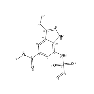 C=CS(=O)(=O)Nc1cc(C(=O)OC)cc2c(CC)c[nH]c12